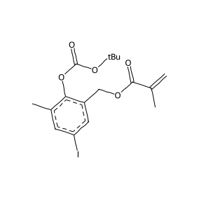 C=C(C)C(=O)OCc1cc(I)cc(C)c1OC(=O)OC(C)(C)C